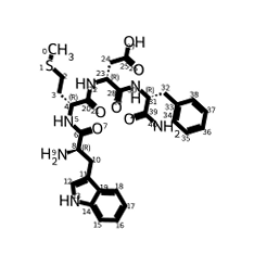 CSCC[C@@H](NC(=O)[C@H](N)Cc1c[nH]c2ccccc12)C(=O)N[C@H](CC(=O)O)C(=O)N[C@H](Cc1ccccc1)C(N)=O